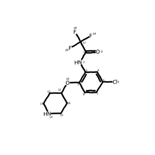 O=C(Nc1cc(Cl)ccc1OC1CCNCC1)C(F)(F)F